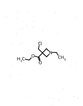 CCOC(=O)C1(CCl)CN(CC)C1